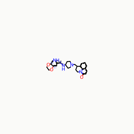 C=C(/C=C1/OCCO/C1=C/N)CNC1CCN(CC2CCn3c(=O)ccc4cccc2c43)CC1